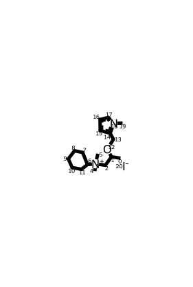 CC(C[N+](C)(C)C1CCCCC1)OCc1cccn1C.[I-]